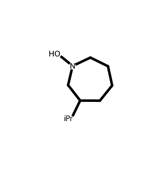 CC(C)C1CCCCN(O)C1